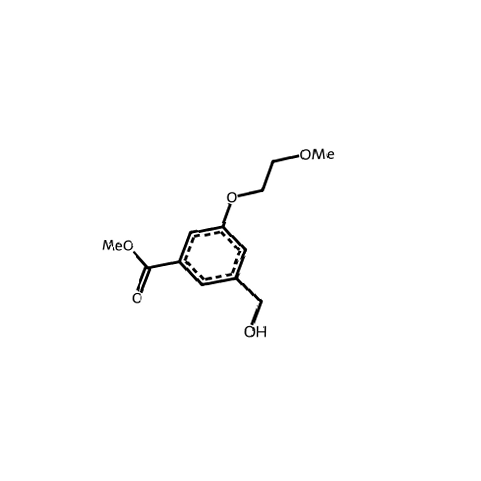 COCCOc1cc(CO)cc(C(=O)OC)c1